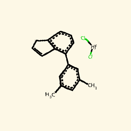 Cc1cc(C)cc(-c2cccc3c2C=C[CH]3)c1.[Cl][Hf][Cl]